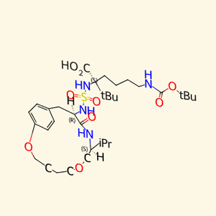 CC(C)[C@H]1COCCCCOc2ccc(cc2)C[C@@H](NS(=O)(=O)N[C@](CCCCNC(=O)OC(C)(C)C)(C(=O)O)C(C)(C)C)C(=O)N1